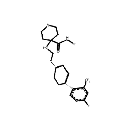 CCNC(=O)C1(NCC[C@H]2CC[C@@H](c3ccc(F)cc3C(F)(F)F)CC2)CCOCC1